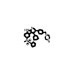 CN1CCN(Cc2ccc(-c3cnc4[nH]c5ccc(N(C)S(=O)(=O)c6ccccc6)cc5c4c3-c3ccccc3)cc2)CC1